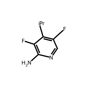 CC(C)c1c(F)cnc(N)c1F